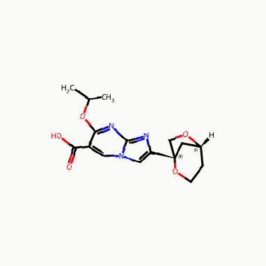 CC(C)Oc1nc2nc([C@]34CO[C@H](CCO3)C4)cn2cc1C(=O)O